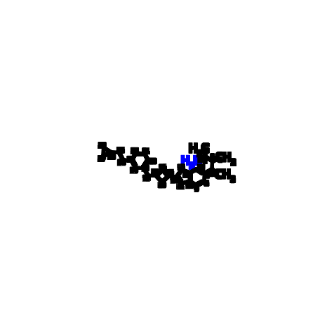 C=C(N)C(=C)C(C)c1ccc2c(c1)CC(C1CC(Cc3cccc(CCC4CC4)c3)C1)=C2